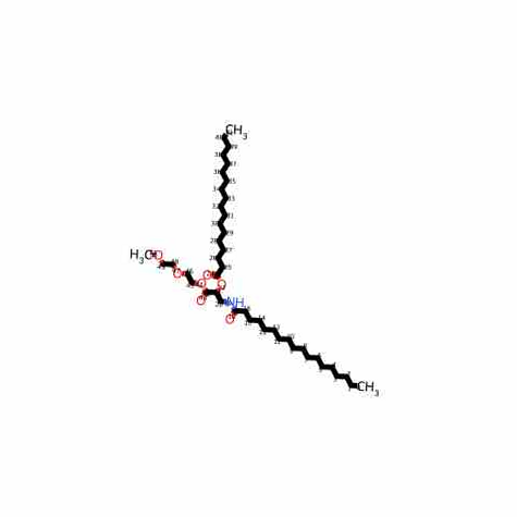 CCCCCCCCCCCCCCCCCC(=O)NCC(OC(=O)CCCCCCCCCCCCCCCCC)C(=O)OCCOCCOC